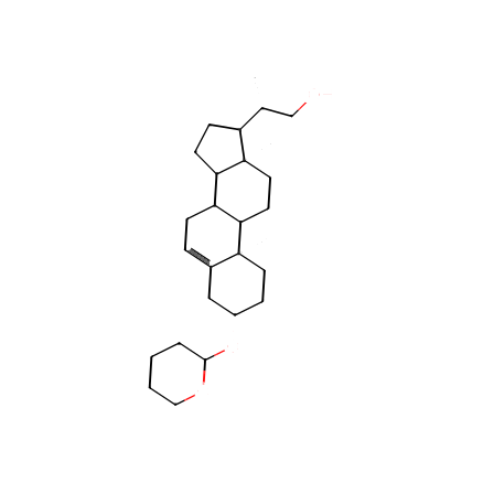 C[C@H](CO)C1CCC2C3CC=C4C[C@@H](OC5CCCCO5)CC[C@]4(C)C3CC[C@@]21C